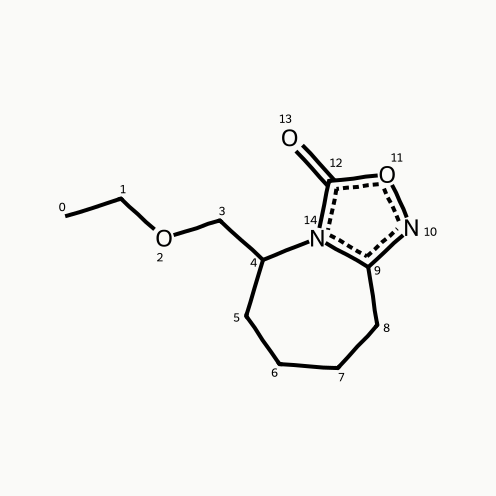 CCOCC1CCCCc2noc(=O)n21